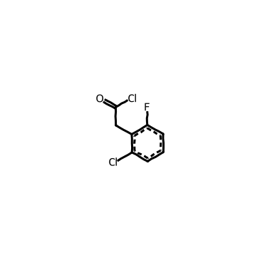 O=C(Cl)Cc1c(F)cccc1Cl